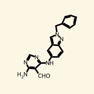 Nc1ncnc(Nc2ccc3nn(Cc4ccccc4)cc3c2)c1C=O